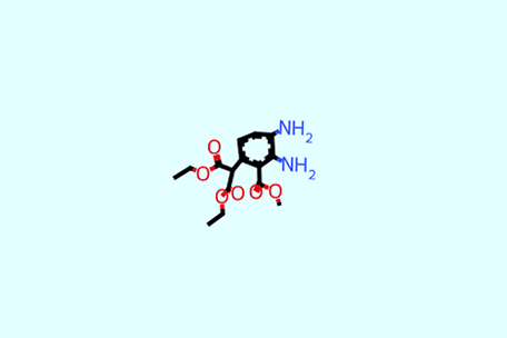 CCOC(=O)C(C(=O)OCC)c1ccc(N)c(N)c1C(=O)OC